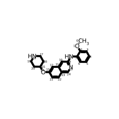 COc1ccccc1Nc1cc2cc(OC3CCNCC3)ccc2cn1